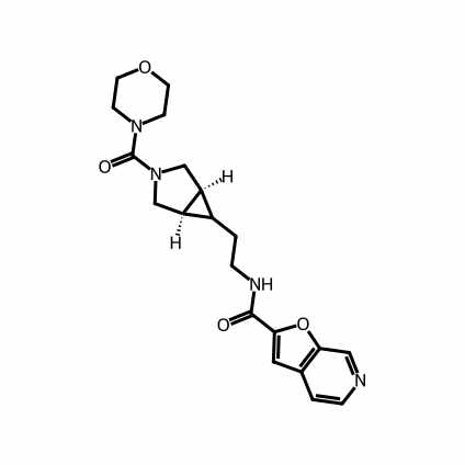 O=C(NCCC1[C@H]2CN(C(=O)N3CCOCC3)C[C@@H]12)c1cc2ccncc2o1